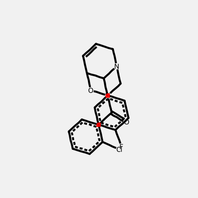 O=C(c1ccccc1Cl)N1CN2CC=CC(O1)C2c1ccc(F)cc1